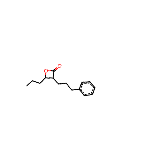 CCCC1OC(=O)C1CCCc1ccccc1